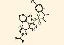 COc1cccc(OC)c1-n1c(NS(=O)(=O)C(C)C(C)c2ncc(Cl)cn2)nnc1-c1ccn(C(F)F)n1